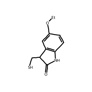 CCOc1ccc2c(c1)C(CS)C(=O)N2